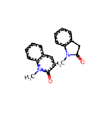 CN1C(=O)Cc2ccccc21.Cn1c(=O)ccc2ccccc21